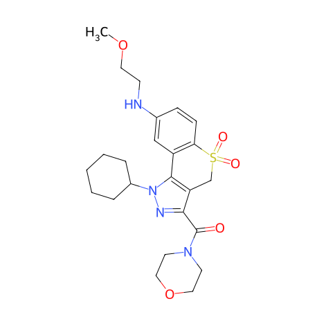 COCCNc1ccc2c(c1)-c1c(c(C(=O)N3CCOCC3)nn1C1CCCCC1)CS2(=O)=O